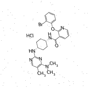 Cc1cnc(N[C@H]2CC[C@@H](NC(=O)c3cccnc3Oc3ccccc3Br)CC2)nc1N(C)C.Cl